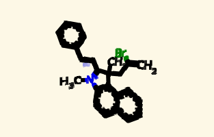 C=C(Br)CC1(C)C(/C=C/c2ccccc2)=[N+](C)c2ccc3ccccc3c21